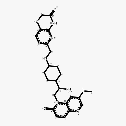 COc1cnc2ccc(=O)n(C[C@H](N)C3CCC(NCc4ncc5c(n4)NC(=O)CO5)CC3)c2c1